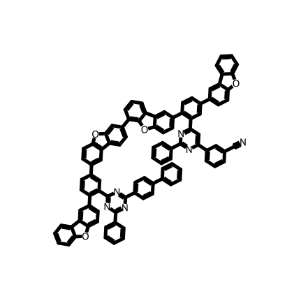 N#Cc1cccc(-c2cc(-c3cc(-c4ccc5oc6ccccc6c5c4)ccc3-c3ccc4oc5c(-c6ccc7c(c6)oc6ccc(-c8ccc(-c9ccc%10oc%11ccccc%11c%10c9)c(-c9nc(-c%10ccccc%10)nc(-c%10ccc(-c%11ccccc%11)cc%10)n9)c8)cc67)cccc5c4c3)nc(-c3ccccc3)n2)c1